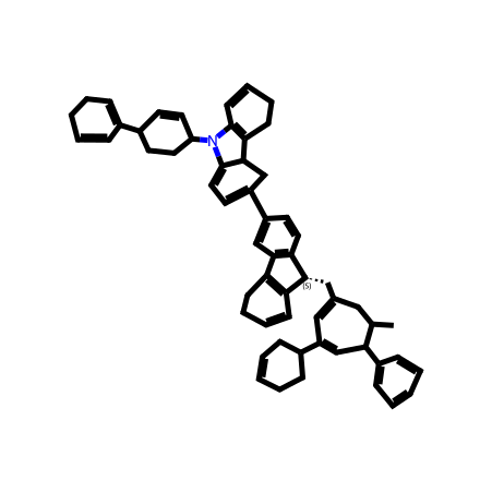 CC1CC(C[C@@H]2C3=C(CCC=C3)c3cc(C4=CC=C5C(C4)C4=C(C=CCC4)N5C4C=CC(C5=CCCC=C5)CC4)ccc32)=CC(C2CC=CCC2)=CC1c1ccccc1